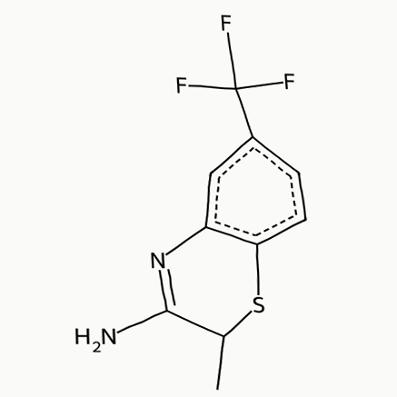 CC1Sc2ccc(C(F)(F)F)cc2N=C1N